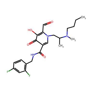 CCCCN(C)C(C)Cn1cc(C(=O)NCc2ccc(F)cc2F)c(=O)c(O)c1C=O